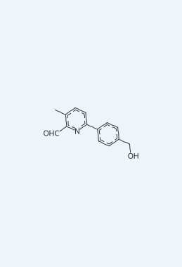 Cc1ccc(-c2ccc(CO)cc2)nc1C=O